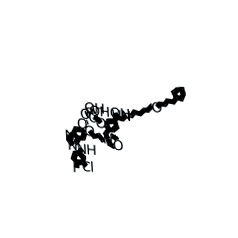 COc1cc2ncnc(Nc3ccc(F)c(Cl)c3)c2cc1OCCC[N+]1(Cc2ccc(C(O)CNCCCCCCOCCCCc3ccccc3)cc2OCOP(=O)(O)O)CCOCC1